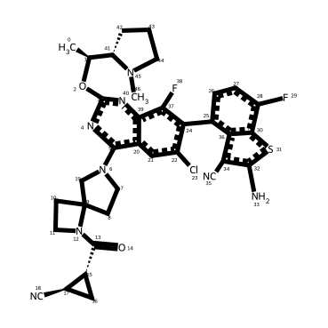 C[C@H](Oc1nc(N2CCC3(CCN3C(=O)[C@@H]3C[C@H]3C#N)C2)c2cc(Cl)c(-c3ccc(F)c4sc(N)c(C#N)c34)c(F)c2n1)[C@@H]1CCCN1C